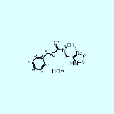 CN(CC1=NCCN1)C(=O)OCc1ccccc1.Cl